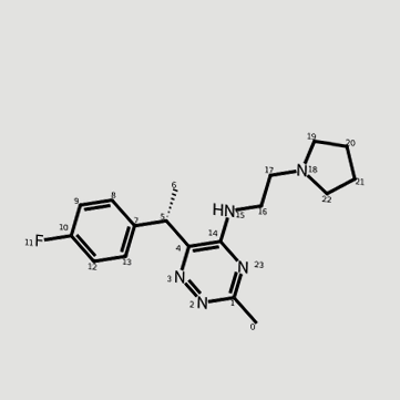 Cc1nnc([C@@H](C)c2ccc(F)cc2)c(NCCN2CCCC2)n1